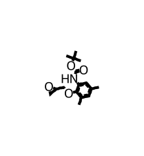 Cc1cc(C)c(OCC2CO2)c(NC(=O)OC(C)(C)C)c1